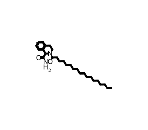 CCCCCCCCC=CCCCCCCCC(=O)N1CCc2c[c]ccc2C1C(N)=O